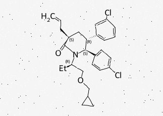 C=CC[C@H]1C[C@H](c2cccc(Cl)c2)[C@@H](c2ccc(Cl)cc2)N([C@H](CC)COCC2CC2)C1=O